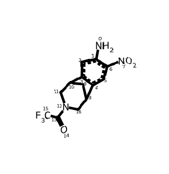 Nc1cc2c(cc1[N+](=O)[O-])C1CC2CN(C(=O)C(F)(F)F)C1